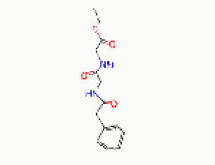 CCOC(=O)CNC(=O)CNC(=O)Cc1ccccc1